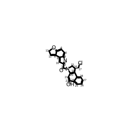 O=C(C1=Nc2ccc3c(c2=C1)=CCO3)N1C[C@@H](CCl)c2c1cc(O)c1ccccc21